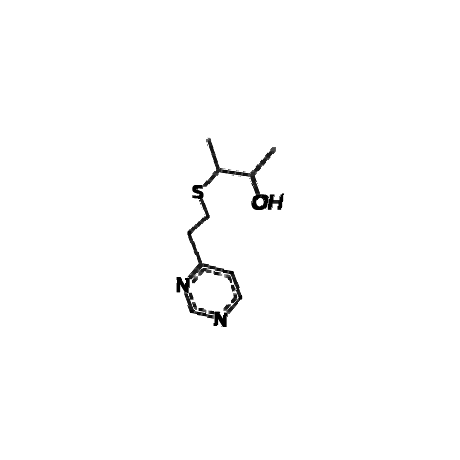 CC(O)C(C)SCCc1ccncn1